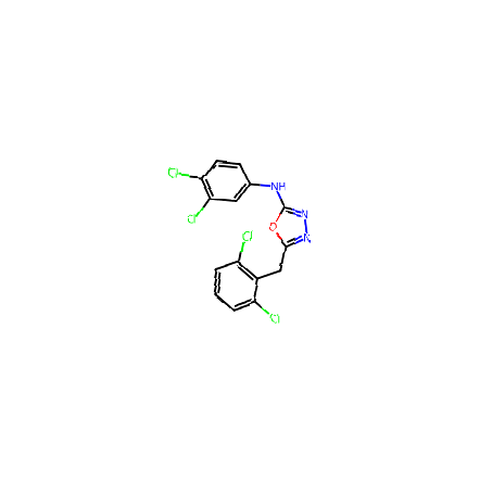 Clc1ccc(Nc2nnc(Cc3c(Cl)cccc3Cl)o2)cc1Cl